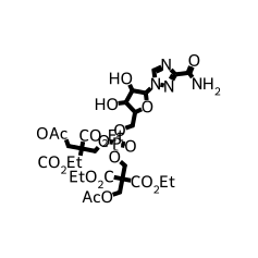 CCOC(=O)C(COC(C)=O)(COP(=O)(OCC1OC(n2cnc(C(N)=O)n2)C(O)C1O)OCC(COC(C)=O)(C(=O)OCC)C(=O)OCC)C(=O)OCC